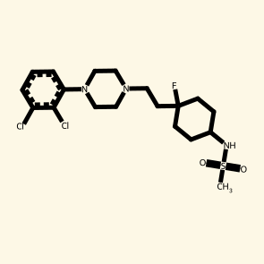 CS(=O)(=O)NC1CCC(F)(CCN2CCN(c3cccc(Cl)c3Cl)CC2)CC1